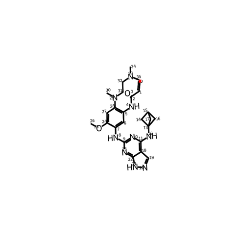 C=CC(=O)Nc1cc(Nc2nc(NC34CC(C3)C4)c3cn[nH]c3n2)c(OC)cc1N(C)CCN(C)C